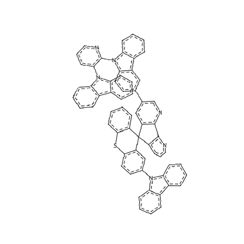 c1ccc2c(c1)Sc1ccc(-n3c4ccccc4c4ccccc43)cc1C21c2cccnc2-c2ncc(-c3ccc4c(c3)c3ccccc3n4-c3ncccc3-n3c4ccccc4c4ccccc43)cc21